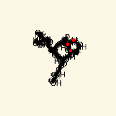 COc1ccc(C[C@H](NC(=O)[C@@H](NC(C)=O)[C@@H](C)O)C(=O)N2CCC[C@@]2(C)C(=O)NCCc2ccc(CN3CCCCCCn4cc(c5cc(F)ccc54)C[C@@H]4NC(=O)[C@H](Cc5cccc(c5)CNC(=O)CO[C@H]5CCN(C4=O)C5C)NC(=O)[C@@H](C)NC(=O)[C@H](CNC(=O)COCCOCCNC(=O)CCCC(=O)O)NC(=O)CCC3=O)cc2)cc1